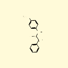 COc1ccc([S+]([O-])[C@H](Cl)[C@H](Cl)c2ccccc2)cc1